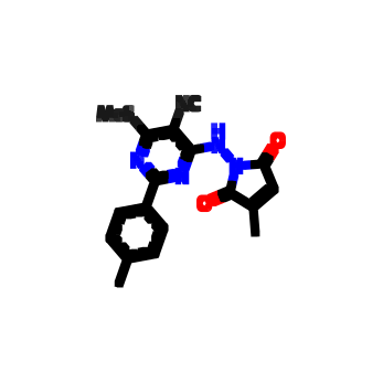 [C-]#[N+]c1c(NN2C(=O)C=C(C)C2=O)nc(-c2ccc(C)cc2)nc1SC